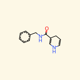 O=C(NCc1ccccc1)C1=CNC=CC1